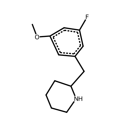 COc1cc(F)cc(CC2CCCCN2)c1